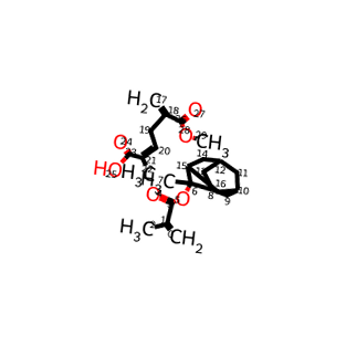 C=C(C)C(=O)OC1(C)C2CC3CC(C2)CC1C3.C=C(CC=C(C)C(=O)O)C(=O)OC